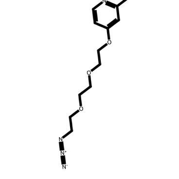 [N-]=[N+]=NCCOCCOCCOc1ccnc(F)c1